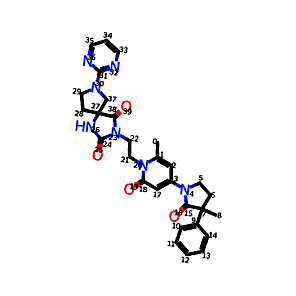 Cc1cc(N2CCC(C)(c3ccccc3)C2=O)cc(=O)n1CCN1C(=O)NC2(CCN(c3ncccn3)C2)C1=O